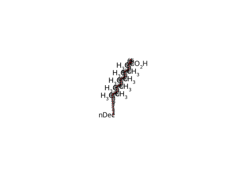 CCCCCCCCCCCCCCCCCCCCCCCCCC(C)=CCCC(C)=CCCC(C)=CCCC(C)=CCCC(C)=CCCC(C)=CCCC(C)=CCCC(C)=CCCC(C)=CCC1(C(=O)O)CCCCC1